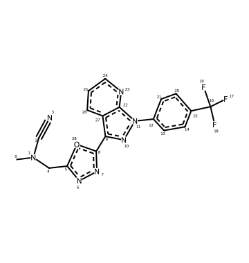 CN(C#N)Cc1nnc(-c2nn(-c3ccc(C(F)(F)F)cc3)c3ncccc23)o1